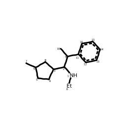 CCNC(C1CCC(C)C1)C(C)c1ccccc1